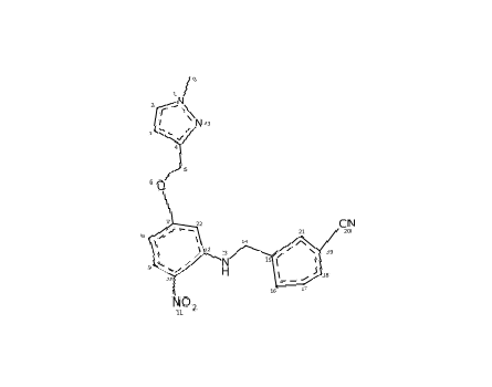 Cn1ccc(COc2ccc([N+](=O)[O-])c(NCc3cccc(C#N)c3)c2)n1